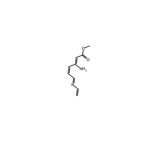 C=C/N=C/C=C\C(N)=C\C(=O)OC